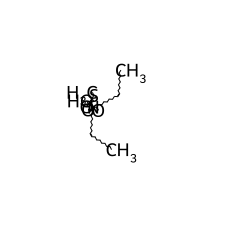 CCCCCCCC/C=C\CCCCCCCC(=O)N(C(=O)CCCCCCC/C=C\CCCCCCCC)[C@@H](CCSC)C(=O)O